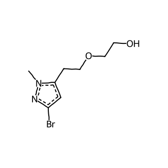 Cn1nc(Br)cc1CCOCCO